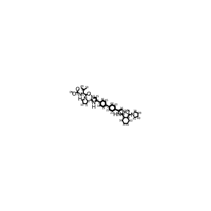 COC(=O)N[C@H](C(=O)N1CCC[C@H]1c1ncc(-c2ccc(-c3ccc(-c4cnc(C5CCCCC5C(=O)N5CCCC5)[nH]4)cc3)cc2)[nH]1)C(C)C